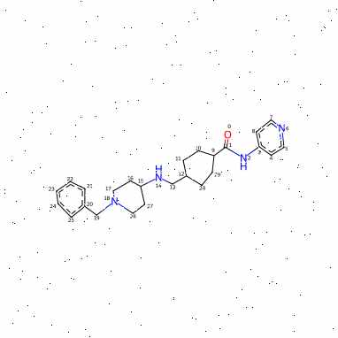 O=C(Nc1ccncc1)C1CCC(CNC2CCN(Cc3ccccc3)CC2)CC1